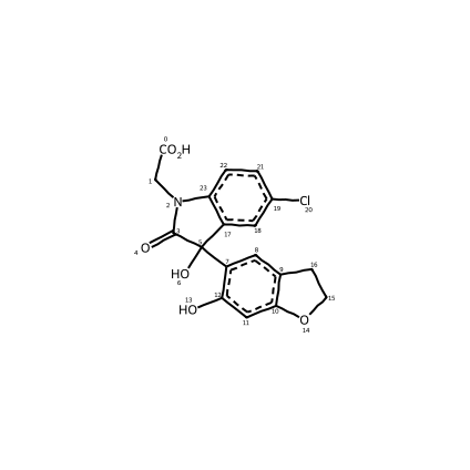 O=C(O)CN1C(=O)C(O)(c2cc3c(cc2O)OCC3)c2cc(Cl)ccc21